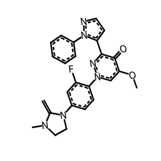 C=C1N(C)CCN1c1ccc(-n2cc(OC)c(=O)c(-c3ccnn3-c3ccccc3)n2)c(F)c1